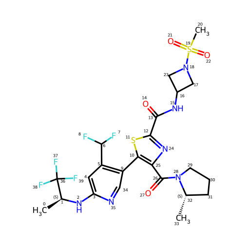 C[C@H](Nc1cc(C(F)F)c(-c2sc(C(=O)NC3CN(S(C)(=O)=O)C3)nc2C(=O)N2CCC[C@@H]2C)cn1)C(F)(F)F